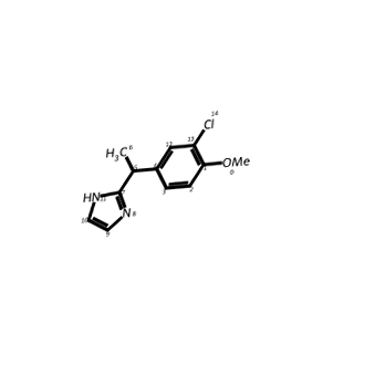 COc1ccc(C(C)c2ncc[nH]2)cc1Cl